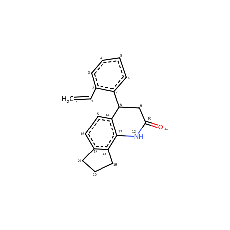 C=Cc1ccccc1C1CC(=O)Nc2c1ccc1c2CCC1